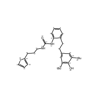 CC(C)(C)c1cc(CCc2ccccc2NC(=O)NCCCc2cccs2)cc(C(C)(C)C)c1O